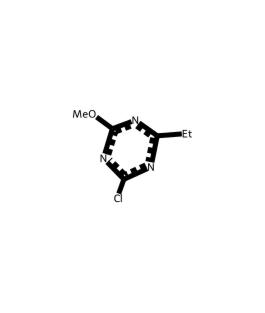 CCc1nc(Cl)nc(OC)n1